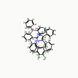 Fc1c(F)c(F)c(Cn2c(-c3c(-c4ccccc4)cccc3P(c3ccccc3)c3ccccc3)nc(-c3ccccc3)c2-c2ccccc2)c(F)c1F